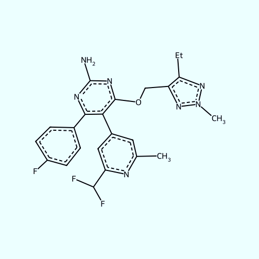 CCc1nn(C)nc1COc1nc(N)nc(-c2ccc(F)cc2)c1-c1cc(C)nc(C(F)F)c1